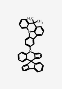 CC1(C)c2ccccc2-n2c3ccc(N4c5ccccc5C5(c6ccccc6-c6ccccc65)c5ccccc54)cc3c3cccc1c32